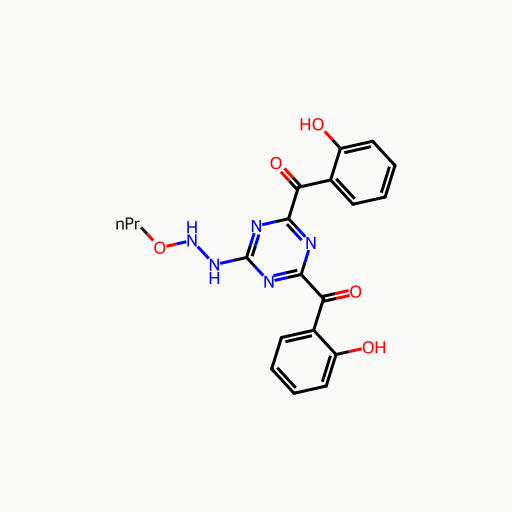 CCCONNc1nc(C(=O)c2ccccc2O)nc(C(=O)c2ccccc2O)n1